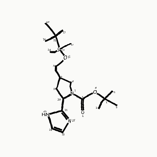 CC(C)(C)OC(=O)N1CC(CO[Si](C)(C)C(C)(C)C)CC1c1ncc[nH]1